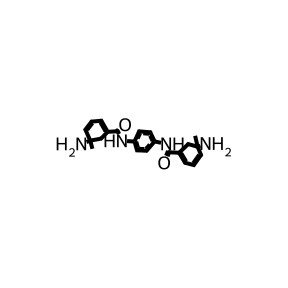 CC1(N)C=CC=C(C(=O)Nc2ccc(NC(=O)C3=CC=CC(C)(N)C3)cc2)C1